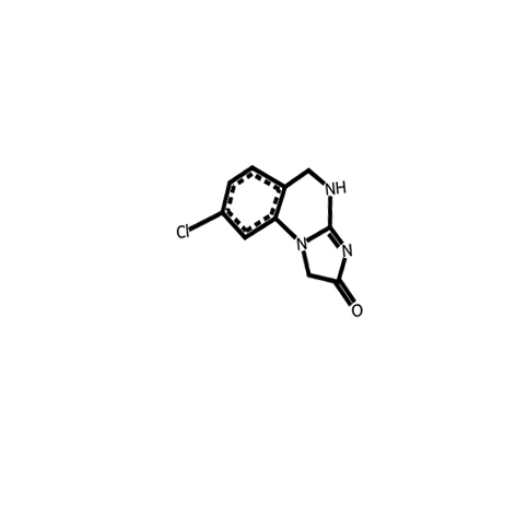 O=C1CN2C(=N1)NCc1ccc(Cl)cc12